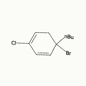 CCCCC1(Br)C=CC(Cl)=CC1